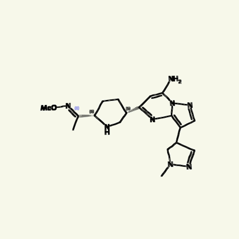 CO/N=C(\C)[C@@H]1CC[C@H](c2cc(N)n3ncc(C4C=NN(C)C4)c3n2)CN1